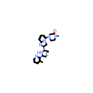 Cc1cccnc1[C@@H]1CCC[C@H](C2CN3C(N4CCN(C)C(=O)C4)=CC=CC3=N2)N1